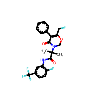 CC(C)(C(=O)Nc1cc(C(F)(F)F)ccc1F)N1COC(CF)=C(c2ccccc2)C1=O